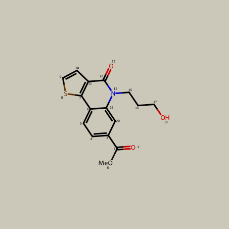 COC(=O)c1ccc2c3sccc3c(=O)n(CCCO)c2c1